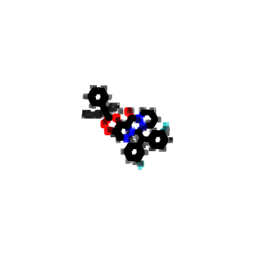 COC(C(=O)Oc1c2n(ncc1=O)[C@H](C(c1cccc(F)c1)c1cccc(F)c1)N1CCCCN1C2=O)(c1ccccc1)C(F)(F)F